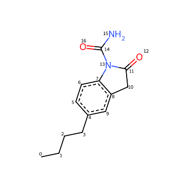 CCCCc1ccc2c(c1)CC(=O)N2C(N)=O